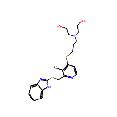 Cc1c(SCCCN(CCO)CCO)ccnc1CSc1nc2ccccc2[nH]1